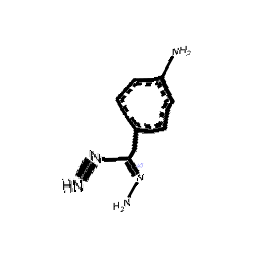 N=N/C(=N\N)c1ccc(N)cc1